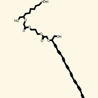 C#CC#CC#CC#CC#CC#CC#CC#CC(CO)OCC(=O)OCCCOC(=O)COC(CO)CCCCCCCCCCCCCCCC